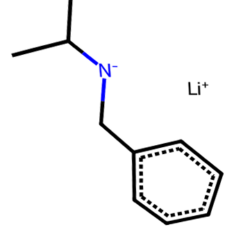 CC(C)[N-]Cc1ccccc1.[Li+]